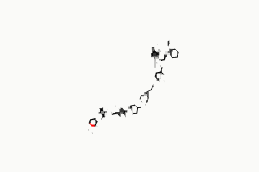 CCc1cnn2c(NCc3ccc(OCCCN4CCN(CC5CCN(c6cnc(C(=O)NC7C(C)(C)C(Oc8ccc(C#N)c(Cl)c8)C7(C)C)cn6)CC5)CC4)nc3)cc(N3CCCC[C@@H]3CCO)nc12